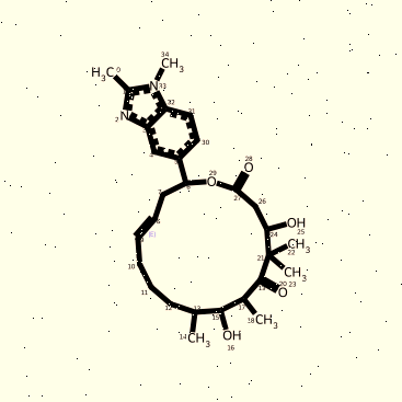 Cc1nc2cc(C3C/C=C/CCCC(C)C(O)C(C)C(=O)C(C)(C)C(O)CC(=O)O3)ccc2n1C